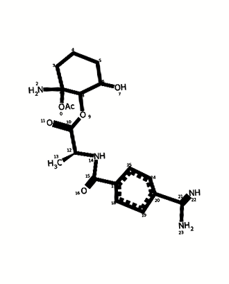 CC(=O)OC1(N)CCCC(O)C1OC(=O)[C@H](C)NC(=O)c1ccc(C(=N)N)cc1